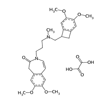 COc1cc2c(cc1OC)CC(=O)N(CCCN(C)CC1Cc3cc(OC)c(OC)cc31)C=C2.O=C(O)C(=O)O